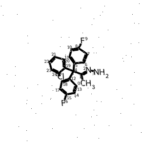 CC(=NN)C(c1ccc(F)cc1)(c1ccc(F)cc1)c1ccccc1Cl